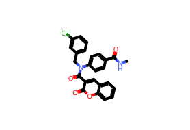 CNC(=O)c1ccc(N(Cc2cccc(Cl)c2)C(=O)c2cc3ccccc3oc2=O)cc1